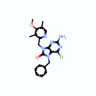 COc1c(C)cnc(Cn2c(=O)n(Cc3ccccc3)c3c(Cl)nc(N)nc32)c1C